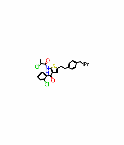 CC(C)Cc1ccc(CCc2cc(C(=O)c3ccccc3Cl)c(NC(=O)C(C)Cl)s2)cc1